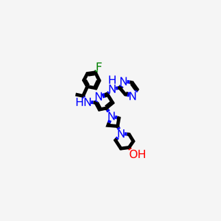 CC(Nc1cc(N2CC(N3CCC(O)CC3)C2)cc(Nc2cnccn2)n1)c1ccc(F)cc1